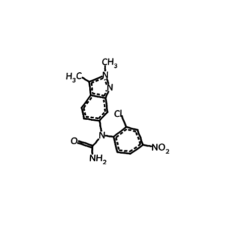 Cc1c2ccc(N(C(N)=O)c3ccc([N+](=O)[O-])cc3Cl)cc2nn1C